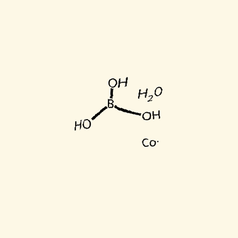 O.OB(O)O.[Co]